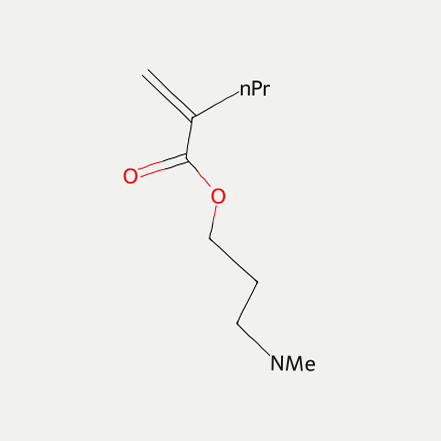 C=C(CCC)C(=O)OCCCNC